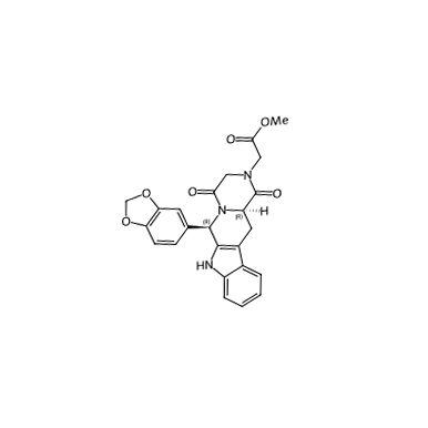 COC(=O)CN1CC(=O)N2[C@H](c3ccc4c(c3)OCO4)c3[nH]c4ccccc4c3C[C@@H]2C1=O